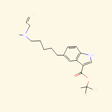 C=CCN(C)CCCCCc1ccc2[nH]cc(C(=O)OC(C)(C)C)c2c1